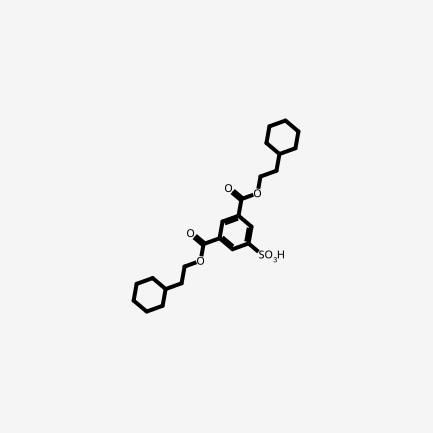 O=C(OCCC1CCCCC1)c1cc(C(=O)OCCC2CCCCC2)cc(S(=O)(=O)O)c1